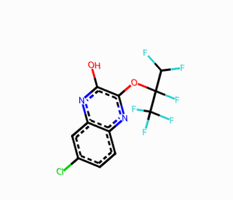 Oc1nc2cc(Cl)ccc2nc1OC(F)(C(F)F)C(F)(F)F